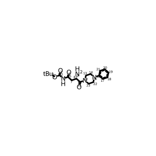 CC(C)(C)OC(=O)NC(=O)C[C@H](N)C(=O)N1CCN(c2ccccc2)CC1